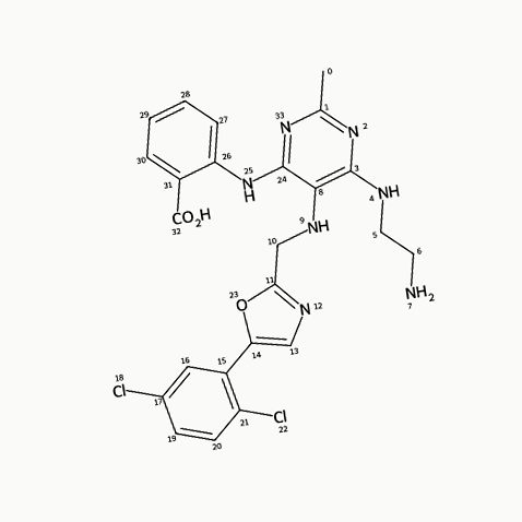 Cc1nc(NCCN)c(NCc2ncc(-c3cc(Cl)ccc3Cl)o2)c(Nc2ccccc2C(=O)O)n1